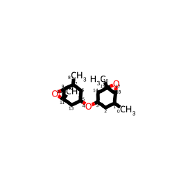 CC1CC(OC2CC(C)C3OC3(C)C2)CC2(C)OC12